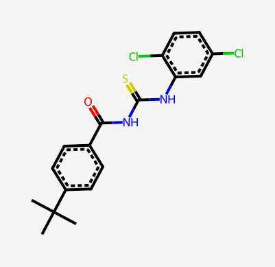 CC(C)(C)c1ccc(C(=O)NC(=S)Nc2cc(Cl)ccc2Cl)cc1